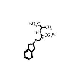 CCOC(=O)[C@H](CSC1Cc2ccccc2C1)NC(C)C(=O)O